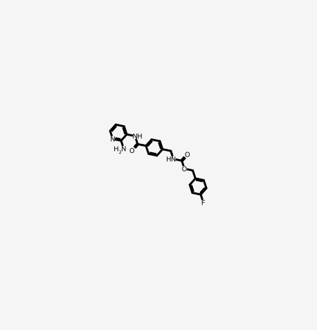 Nc1ncccc1NC(=O)c1ccc(CNC(=O)OCc2ccc(F)cc2)cc1